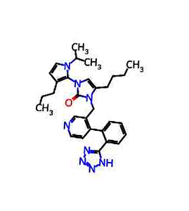 CCCCc1cn(-c2c(CCC)ccn2C(C)C)c(=O)n1Cc1cnccc1-c1ccccc1-c1nnn[nH]1